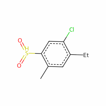 CCc1cc(C)c([SH](=O)=O)cc1Cl